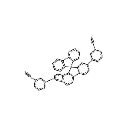 N#Cc1ccnc(-c2ccc3c(c2)C2(c4ccccc4-c4ccccc42)c2c-3ccc3cc(-c4cc(C#N)ccn4)ccc23)c1